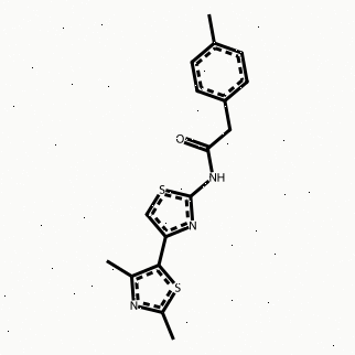 Cc1ccc(CC(=O)Nc2nc(-c3sc(C)nc3C)cs2)cc1